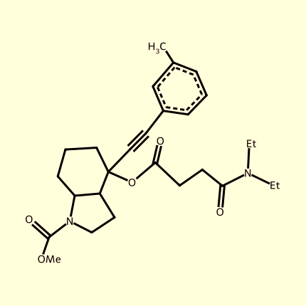 CCN(CC)C(=O)CCC(=O)OC1(C#Cc2cccc(C)c2)CCCC2C1CCN2C(=O)OC